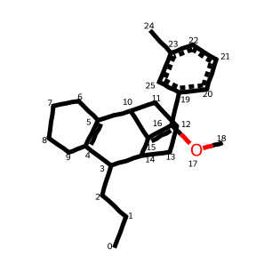 CCCC1C2=C(CCCC2)C2CCCC1/C2=C(\OC)c1cccc(C)c1